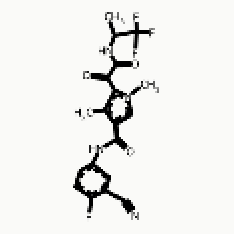 Cc1c(C(=O)Nc2ccc(F)c(C#N)c2)cn(C)c1C(=O)C(=O)NC(C)C(F)(F)F